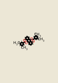 Cc1cc(C)cc(C(=O)Oc2c3ccccc3c(OC(=O)c3cc(C)cc(C)c3)c3ccccc23)c1